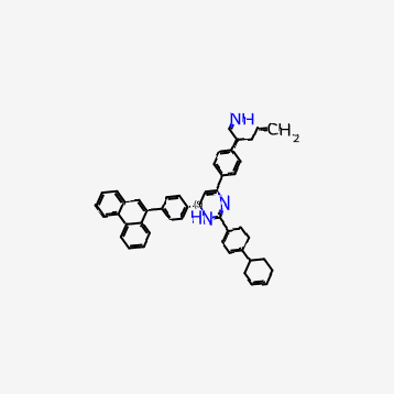 C=CCC(C=N)c1ccc(C2=C[C@@H](c3ccc(-c4cc5ccccc5c5ccccc45)cc3)NC(C3=CC=C(C4CC=CCC4)CC3)=N2)cc1